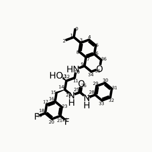 CC(C)c1ccc2c(c1)C(NC[C@H](O)[C@H](Cc1cc(F)cc(F)c1)NC(=O)Nc1ccccc1)COC2